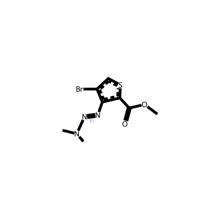 COC(=O)c1scc(Br)c1/N=N/N(C)C